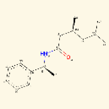 [CH2][C@H](CC(=O)N[C@@H](C)c1ccccc1)CC(C)C